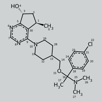 C[C@@H]1C[C@@H](O)c2ncnc(N3CCC(COC(C)(c4ccc(Cl)cc4)N(C)C)CC3)c21